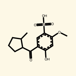 COc1cc(O)c(C(=O)C2CCCC2C)cc1S(=O)(=O)O